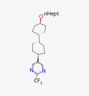 CCCCCCCO[C@H]1CC[C@H]([C@H]2CC[C@H](c3cnc(C(F)(F)F)nc3)CC2)CC1